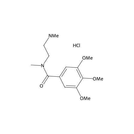 CNCCN(C)C(=O)c1cc(OC)c(OC)c(OC)c1.Cl